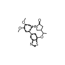 COc1ccc(-c2cc(OC(C)C3CNC(=O)C3)c3scnc3c2)cc1OC